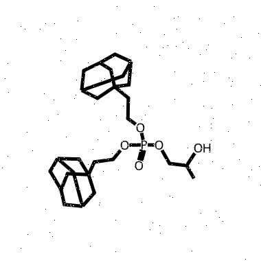 CC(O)COP(=O)(OCCC12CC3CC(CC(C3)C1)C2)OCCC12CC3CC(CC(C3)C1)C2